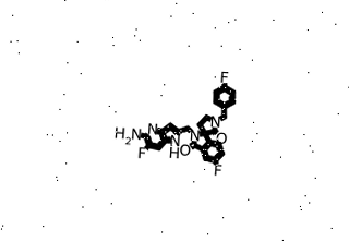 Nc1nc2cc(CN3C(=O)c4cc(F)ccc4C34CCN(Cc3ccc(F)cc3)C4=O)[nH]c2cc1F